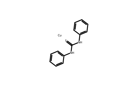 S=C(Nc1ccccc1)Nc1ccccc1.[Cu]